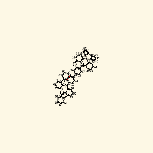 c1ccc(-c2ccccc2N(c2ccc(-c3ccc4c(c3)Oc3cccc5c3N4c3ccccc3C53c4ccccc4-c4ccccc43)cc2)c2cccc3c2oc2ccccc23)cc1